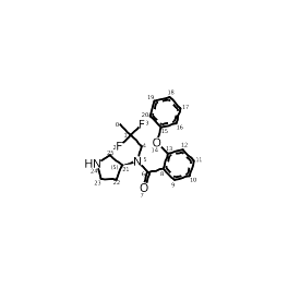 CC(F)(F)CN(C(=O)c1ccccc1Oc1ccccc1)[C@H]1CCNC1